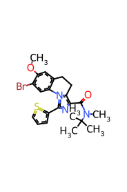 COc1cc2c(cc1Br)-n1c(-c3cccs3)nc(C(=O)N(C)C(C)(C)C)c1CC2